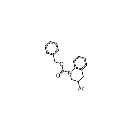 CC(=O)C1Cc2ccccc2N(C(=O)OCc2ccccc2)C1